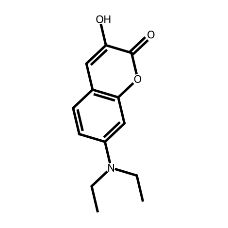 CCN(CC)c1ccc2cc(O)c(=O)oc2c1